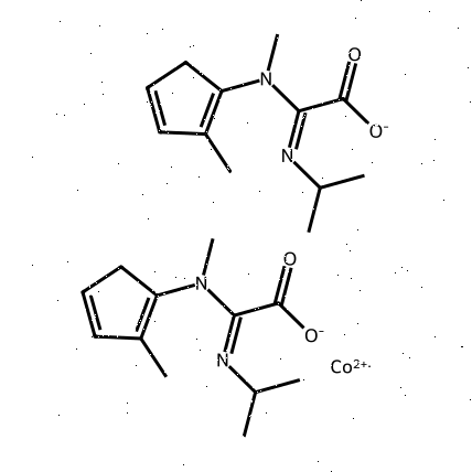 CC1=C(N(C)C(=NC(C)C)C(=O)[O-])CC=C1.CC1=C(N(C)C(=NC(C)C)C(=O)[O-])CC=C1.[Co+2]